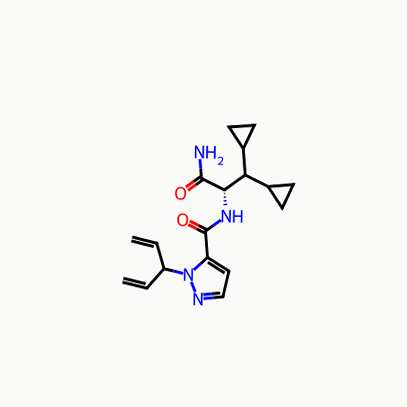 C=CC(C=C)n1nccc1C(=O)N[C@H](C(N)=O)C(C1CC1)C1CC1